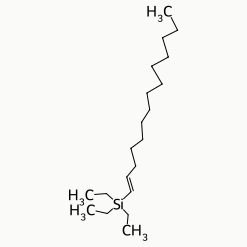 CCCCCCCCCCCCC=C[Si](CC)(CC)CC